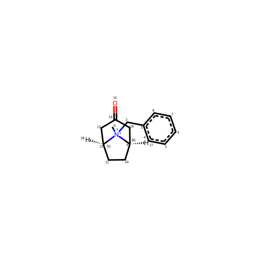 C[N+]1(Cc2ccccc2)[C@@H]2CC[C@H]1CC(=O)C2